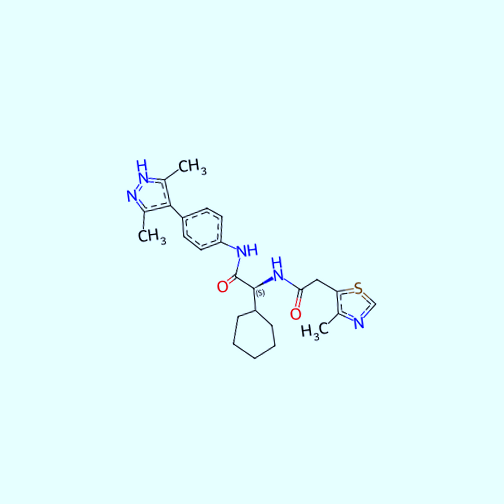 Cc1ncsc1CC(=O)N[C@H](C(=O)Nc1ccc(-c2c(C)n[nH]c2C)cc1)C1CCCCC1